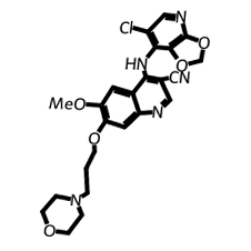 COc1cc2c(Nc3c(Cl)cnc4c3OCO4)c(C#N)cnc2cc1OCCCN1CCOCC1